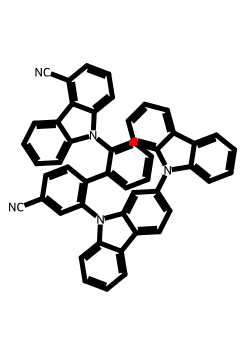 N#Cc1ccc(-c2ccccc2-n2c3ccccc3c3c(C#N)cccc32)c(-n2c3ccccc3c3ccc(-n4c5ccccc5c5ccccc54)cc32)c1